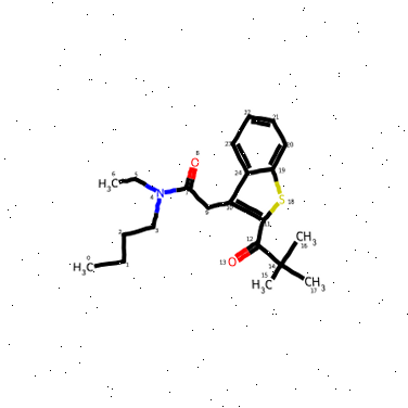 CCCCN(CC)C(=O)Cc1c(C(=O)C(C)(C)C)sc2ccccc12